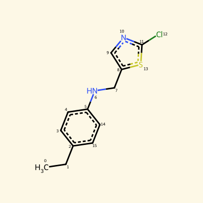 CCc1ccc(NCc2cnc(Cl)s2)cc1